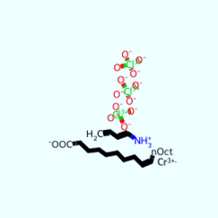 C=CC=C[NH3+].CCCCCCCC/C=C\CCCCCCCC(=O)[O-].[Cr+3].[O-][Cl+3]([O-])([O-])[O-].[O-][Cl+3]([O-])([O-])[O-].[O-][Cl+3]([O-])([O-])[O-]